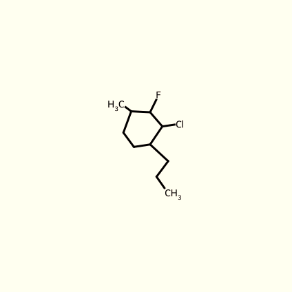 CCCC1CCC(C)C(F)C1Cl